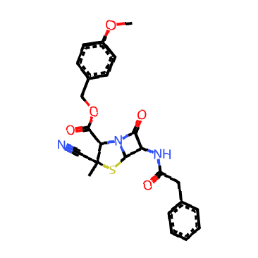 COc1ccc(COC(=O)C2N3C(=O)C(NC(=O)Cc4ccccc4)C3SC2(C)C#N)cc1